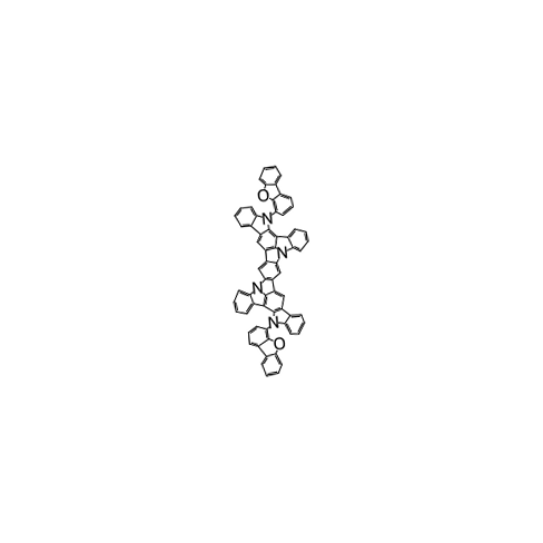 c1ccc2c(c1)oc1c(-n3c4ccccc4c4cc5c6cc7c(cc6n6c8ccccc8c(c43)c56)c3cc4c5ccccc5n(-c5cccc6c5oc5ccccc56)c4c4c5ccccc5n7c34)cccc12